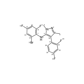 Cc1nn(C)c(Nc2c(F)cc(F)cc2Br)c1-c1ccc(F)cc1F